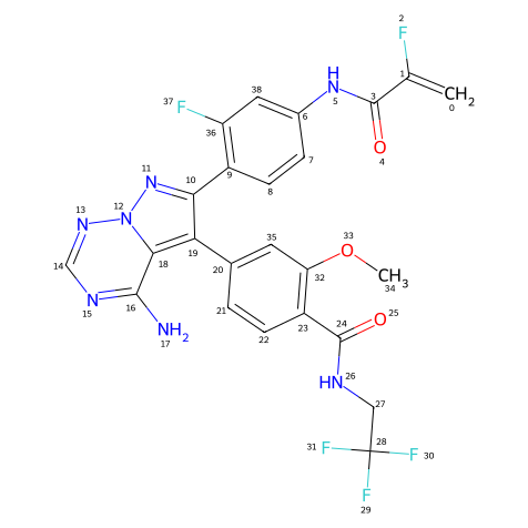 C=C(F)C(=O)Nc1ccc(-c2nn3ncnc(N)c3c2-c2ccc(C(=O)NCC(F)(F)F)c(OC)c2)c(F)c1